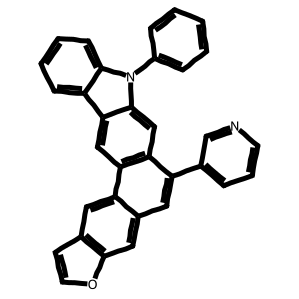 c1ccc(-n2c3ccccc3c3cc4c(cc32)c(-c2cccnc2)cc2cc3occc3cc24)cc1